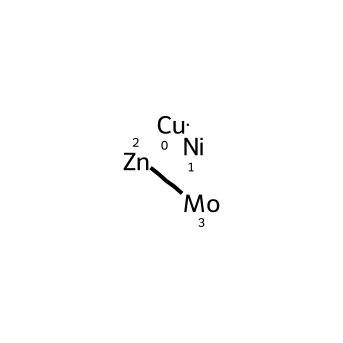 [Cu].[Ni].[Zn][Mo]